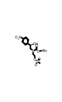 CC(C)(C)OC(=O)N(CCOS(C)(=O)=O)C[C@H](O)c1ccc([N+](=O)[O-])cc1